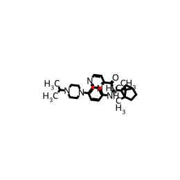 CC(C)N1CCN(c2ccc(NN(C(=O)c3ccncn3)C3CC4CCC3(C)C4(C)C)cc2)CC1